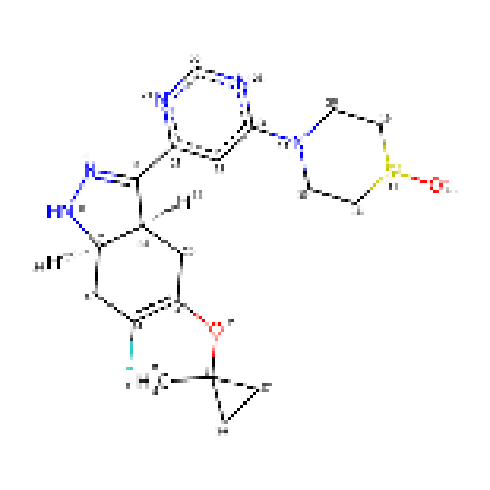 CC1(OC2=C(F)C[C@H]3NN=C(c4cc(N5CC[S+]([O-])CC5)ncn4)[C@H]3C2)CC1